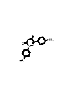 COc1ccc(N2N=C(c3ccc(N)cc3)C(C)CC2=O)cc1